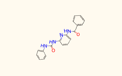 O=C(Nc1ccccc1)Nc1cccc(NC(=O)c2ccccc2)n1